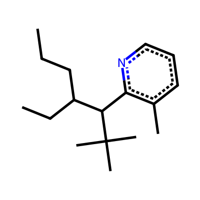 CCCC(CC)C(c1ncccc1C)C(C)(C)C